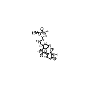 CN(CCCN(C)C(=O)OC(C)(C)C)Cc1cccc2c1n(C)c(=O)n2C1CCC(=O)NC1=O